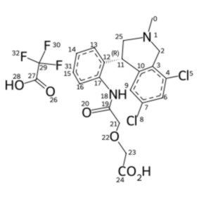 CN1Cc2c(Cl)cc(Cl)cc2[C@H](c2ccccc2NC(=O)COCC(=O)O)C1.O=C(O)C(F)(F)F